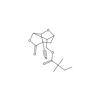 CCC(C)(C)C(=O)OCC1C2CC3(C#N)C(=O)OC1C3O2